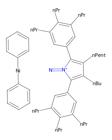 CCCCCC1=C(c2cc(CCC)c(CCC)c(CCC)c2)[N+](=[N-])C(c2cc(CCC)c(CCC)c(CCC)c2)=C1CCCC.c1cc[c]([Ni][c]2ccccc2)cc1